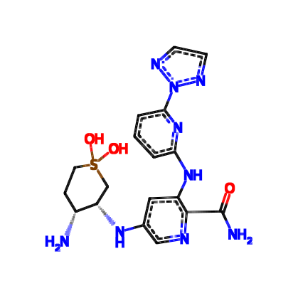 NC(=O)c1ncc(N[C@H]2CS(O)(O)CC[C@H]2N)cc1Nc1cccc(-n2nccn2)n1